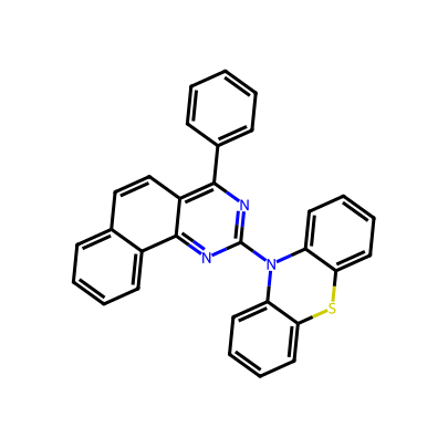 c1ccc(-c2nc(N3c4ccccc4Sc4ccccc43)nc3c2ccc2ccccc23)cc1